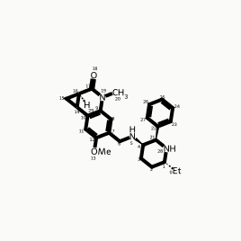 CC[C@@H]1CC[C@@H](NCc2cc3c(cc2OC)C2C[C@H]2C(=O)N3C)[C@@H](c2ccccc2)N1